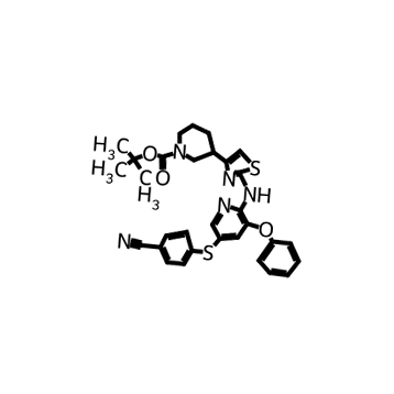 CC(C)(C)OC(=O)N1CCCC(c2csc(Nc3ncc(Sc4ccc(C#N)cc4)cc3Oc3ccccc3)n2)C1